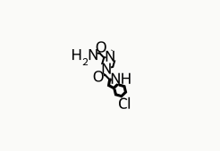 CN1CCN(C(=O)c2cc3cc(Cl)ccc3[nH]2)CC1C(N)=O